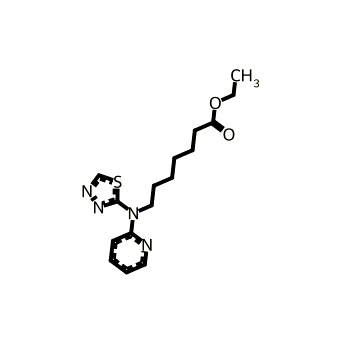 CCOC(=O)CCCCCCN(c1ccccn1)c1nncs1